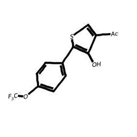 CC(=O)c1csc(-c2ccc(OC(F)(F)F)cc2)c1O